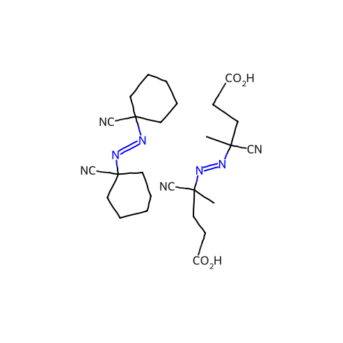 CC(C#N)(CCC(=O)O)N=NC(C)(C#N)CCC(=O)O.N#CC1(N=NC2(C#N)CCCCC2)CCCCC1